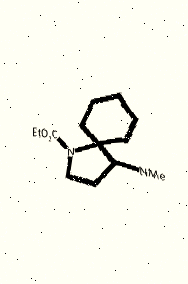 CCOC(=O)N1CCC(NC)C12CCCCC2